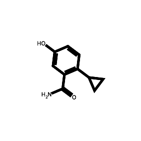 NC(=O)c1cc(O)ccc1C1CC1